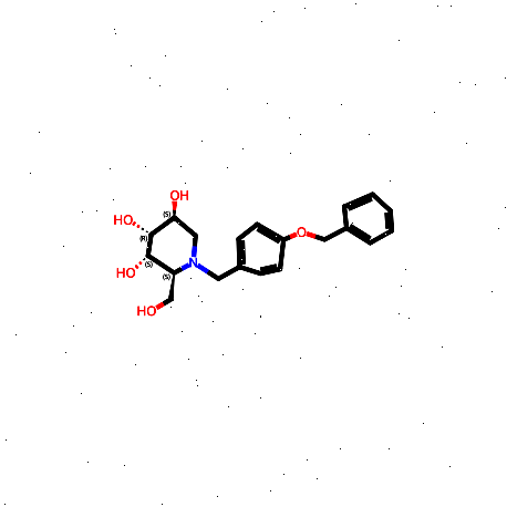 OC[C@H]1[C@H](O)[C@H](O)[C@@H](O)CN1Cc1ccc(OCc2ccccc2)cc1